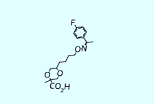 CC(=NOCCCCC1COC(C)(C(=O)O)CO1)c1ccc(F)cc1